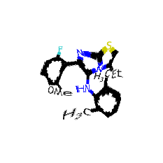 CCc1csc2nc(-c3c(F)cccc3OC)c(Nc3c(C)cccc3C)n12